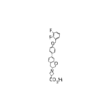 O=C(O)C1CN(C2COc3cc(-c4ccc(OCc5cccc(F)c5F)cc4)ccc3C2)C1